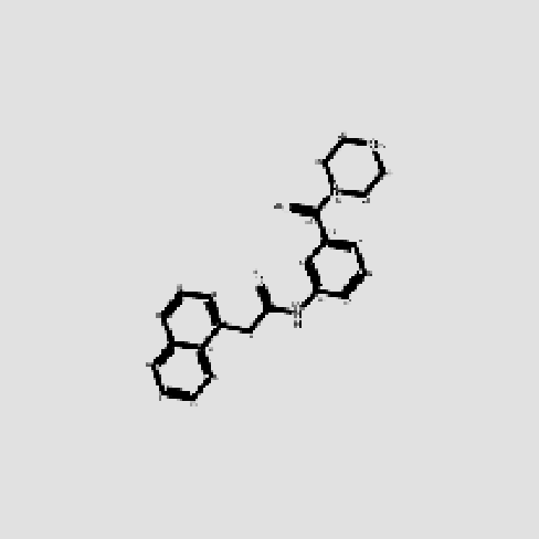 O=C(Cc1cccc2ccccc12)Nc1cccc(C(=O)N2CCOCC2)c1